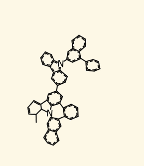 CC1C=CC=C2c3cc(-c4ccc5c(c4)c4ccccc4n5-c4cc(-c5ccccc5)c5ccccc5c4)cc4c3N(c3cc5ccccc5cc3-c3ccccc3-4)C21